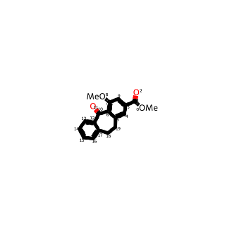 COC(=O)c1cc2c(c(OC)c1)C(=O)c1ccccc1CC2